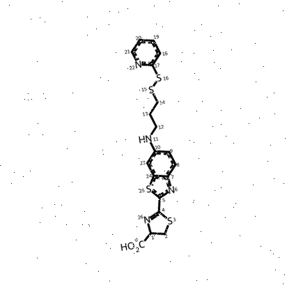 O=C(O)C1CSC(c2nc3ccc(NCCCSSc4ccccn4)cc3s2)=N1